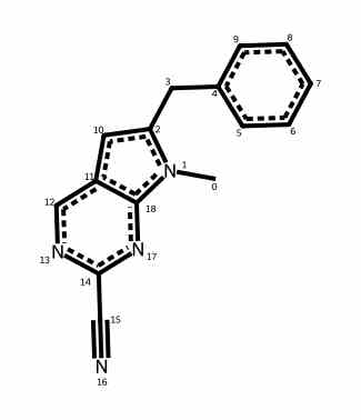 Cn1c(Cc2ccccc2)cc2cnc(C#N)nc21